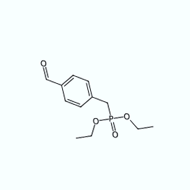 CCOP(=O)(Cc1ccc(C=O)cc1)OCC